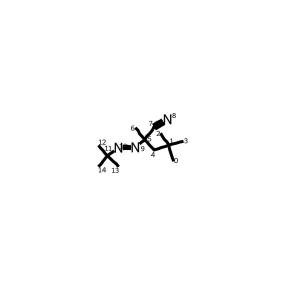 CC(C)(C)CC(C)(C#N)N=NC(C)(C)C